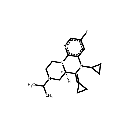 CC(C)N1CCN2c3ncc(F)cc3N(C3CC3)C(=C3CC3)[C@H]2C1